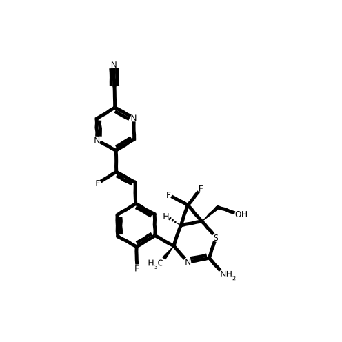 C[C@]1(c2cc(/C=C(\F)c3cnc(C#N)cn3)ccc2F)N=C(N)S[C@]2(CO)[C@@H]1C2(F)F